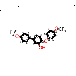 Oc1cc(-c2ccc(OC(F)(F)F)cc2)ccc1Oc1ccc(OC(F)(F)F)cc1